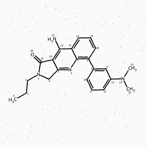 CCCN1Cc2nc3c(-c4cccc(N(C)C)c4)cccc3c(N)c2C1=O